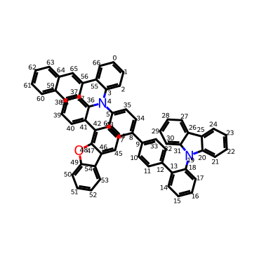 c1ccc(N(c2ccc(-c3ccc(-c4ccccc4-n4c5ccccc5c5ccccc54)cc3)cc2)c2ccccc2-c2cccc3c2oc2ccccc23)c(-c2ccc3ccccc3c2)c1